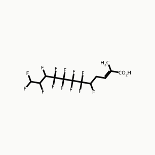 CC(=CCC(F)C(F)(F)C(F)(F)C(F)(F)C(F)(F)C(F)C(F)C(F)F)C(=O)O